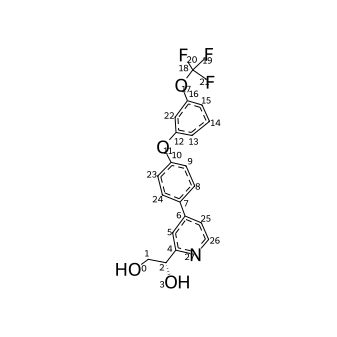 OC[C@@H](O)c1cc(-c2ccc(Oc3cccc(OC(F)(F)F)c3)cc2)ccn1